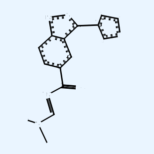 CN(C)/C=N/C(=O)c1ccc2[nH]nc(-c3ccsc3)c2c1